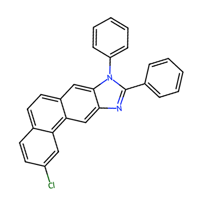 Clc1ccc2ccc3cc4c(cc3c2c1)nc(-c1ccccc1)n4-c1ccccc1